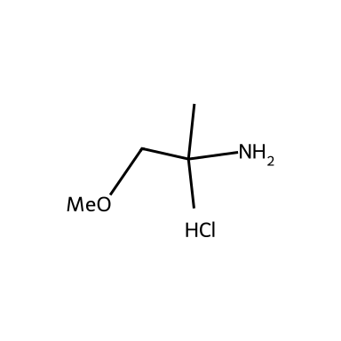 COCC(C)(C)N.Cl